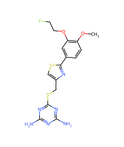 COc1ccc(-c2nc(CSc3nc(N)nc(N)n3)cs2)cc1OCCF